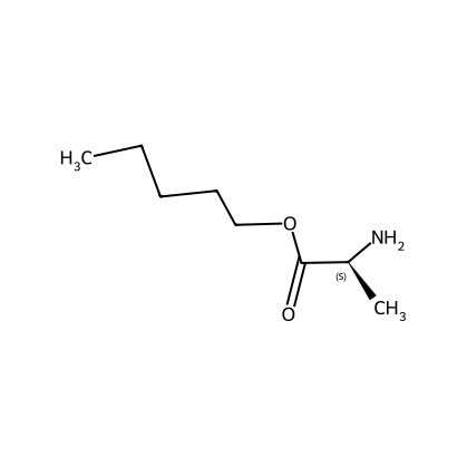 CCCCCOC(=O)[C@H](C)N